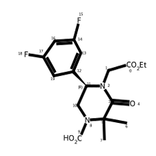 CCOC(=O)CN1C(=O)C(C)(C)N(C(=O)O)C[C@H]1c1cc(F)cc(F)c1